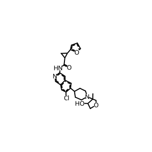 CC1(N2CCC(c3cc4cc(NC(=O)C5CC5c5ccco5)ncc4cc3Cl)CC2)COCC1O